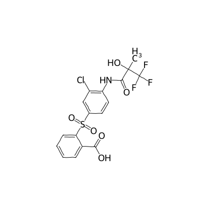 CC(O)(C(=O)Nc1ccc(S(=O)(=O)c2ccccc2C(=O)O)cc1Cl)C(F)(F)F